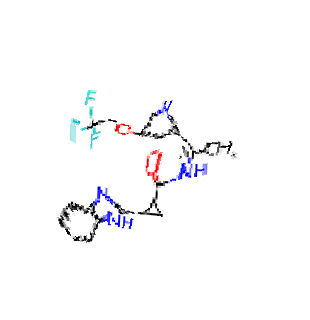 C[C@@H](NC(=O)C1CC1c1nc2ccccc2[nH]1)c1cncc(OCC(F)(F)F)c1